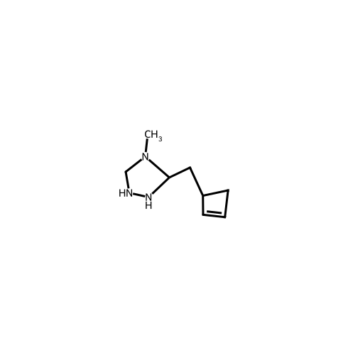 CN1CNNC1CC1C=CC1